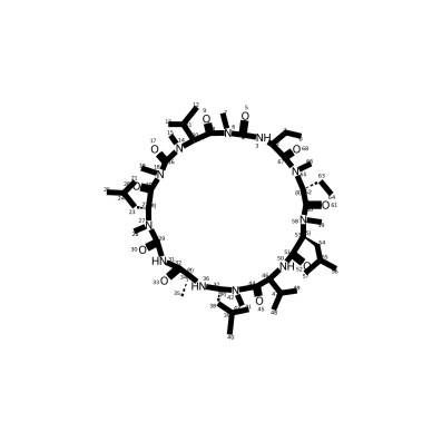 CCC1NC(=O)N(C)C(=O)C(C(C)C)N(C)C(=O)N(C)C(=O)[C@@H](CC(C)C)N(C)C(=O)NC(=O)[C@@H](C)N[C@@H](CC(C)C)N(C)C(=O)C(C(C)C)NC(=O)[C@H](CC(C)C)N(C)C(=O)[C@@H](CC)N(C)C1=O